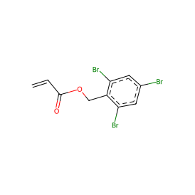 C=CC(=O)OCc1c(Br)cc(Br)cc1Br